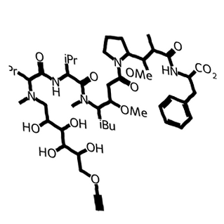 C#COCC(O)C(O)C(O)C(O)CN(C)C(C(=O)NC(C(=O)N(C)C(C(C)CC)C(CC(=O)N1CCCC1C(OC)C(C)C(=O)NC(Cc1ccccc1)C(=O)O)OC)C(C)C)C(C)C